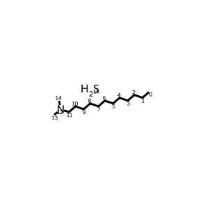 CCCCCCCCCCCCN(C)C.S